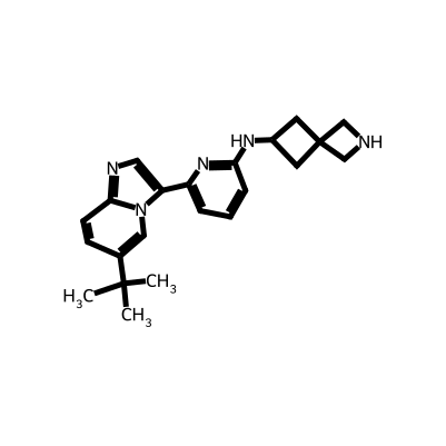 CC(C)(C)c1ccc2ncc(-c3cccc(NC4CC5(CNC5)C4)n3)n2c1